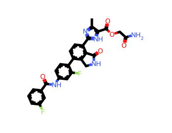 Cc1nc(-c2ccc(-c3ccc(NC(=O)c4cccc(F)c4)cc3F)c3c2C(=O)NC3)[nH]c1C(=O)OCC(N)=O